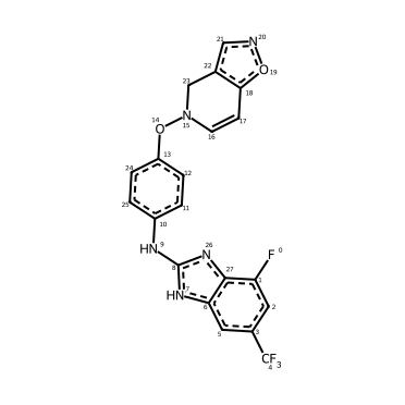 Fc1cc(C(F)(F)F)cc2[nH]c(Nc3ccc(ON4C=Cc5oncc5C4)cc3)nc12